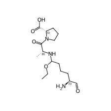 CCOC(CCC[C@H](N)C=O)N[C@H](C)C(=O)N1CCC[C@H]1C(=O)O